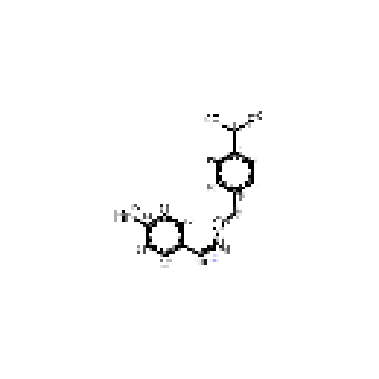 FC(F)c1ccc(CO/N=[C]\c2ccc(Br)cc2)cc1